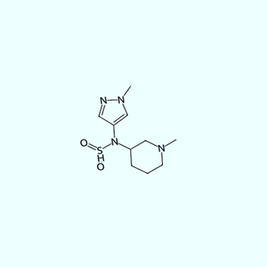 CN1CCCC(N(c2cnn(C)c2)[SH](=O)=O)C1